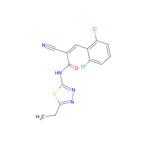 CCc1nnc(NC(=O)/C(C#N)=C\c2c(Cl)cccc2Cl)s1